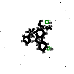 C[CH2][Ge+2][CH2]C.[CH3][Zr]([CH3])([CH3])([CH3])([C]1=CC=CC1)[c]1cccc2c1Cc1ccccc1-2.[Cl-].[Cl-]